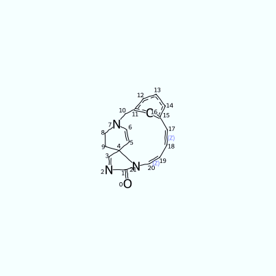 O=C1N=CC23C=CN(CC2)Cc2cccc(c2)/C=C\C=C/N13